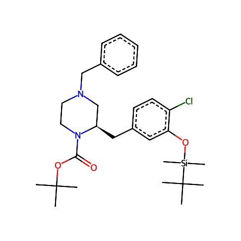 CC(C)(C)OC(=O)N1CCN(Cc2ccccc2)C[C@H]1Cc1ccc(Cl)c(O[Si](C)(C)C(C)(C)C)c1